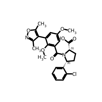 COc1cc(C(=O)N2[C@@H](c3ccccc3Cl)CC[C@H]2C(=O)O)c(OC)c(-c2c(C)noc2C)c1